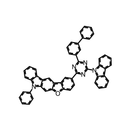 c1ccc(-c2cccc(-c3nc(-c4ccc5oc6cc7c(cc6c5c4)c4ccccc4n7-c4ccccc4)nc(-n4c5ccccc5c5ccccc54)n3)c2)cc1